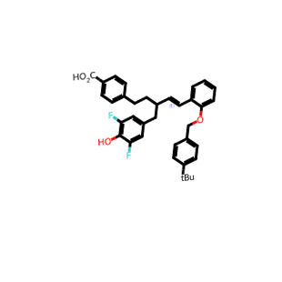 CC(C)(C)c1ccc(COc2ccccc2/C=C/C(CCc2ccc(C(=O)O)cc2)Cc2cc(F)c(O)c(F)c2)cc1